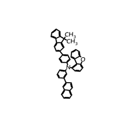 CC1(C)c2ccccc2-c2ccc(-c3ccc(N(c4cccc(-c5ccc6ccccc6c5)c4)c4cccc5oc6ccccc6c45)cc3)cc21